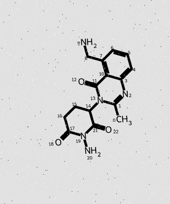 Cc1nc2cccc(CN)c2c(=O)n1C1CCC(=O)N(N)C1=O